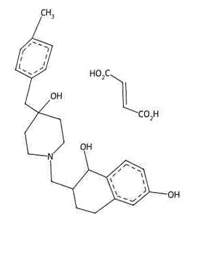 Cc1ccc(CC2(O)CCN(CC3CCc4cc(O)ccc4C3O)CC2)cc1.O=C(O)C=CC(=O)O